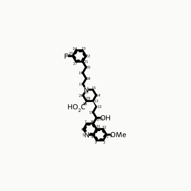 COc1ccc2nccc(C(O)CC[C@@H]3CCN(CCCCc4cccc(F)c4)C[C@@H]3C(=O)O)c2c1